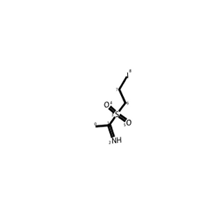 CC(=N)S(=O)(=O)CCI